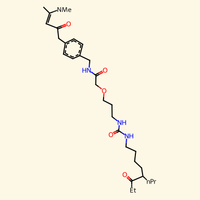 CCCC(CCCCNC(=O)NCCCOCC(=O)NCc1ccc(CC(=O)/C=C(/C)NC)cc1)C(=O)CC